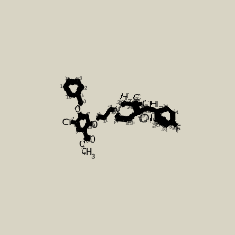 COC(=O)c1cc(Cl)c(OCc2ccccc2)cc1OCCCN1CCC(O)(Cc2ccc(F)cc2)C(C)(C)C1